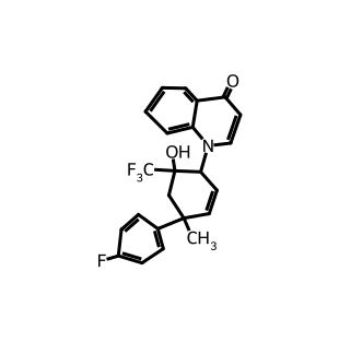 CC1(c2ccc(F)cc2)C=CC(n2ccc(=O)c3ccccc32)C(O)(C(F)(F)F)C1